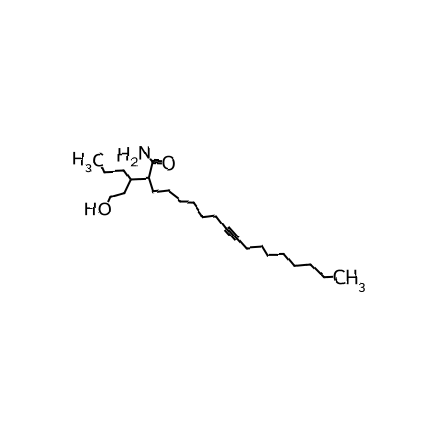 CCCCCCCCC#CCCCCCCC(C(N)=O)C(CCC)CCO